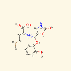 COc1ccccc1OCC1CNC(=O)O1.CSCCC(N)C(=O)O